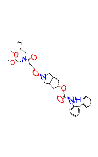 CCCCN(CC(OC)OC)C(=O)CCON1CC2CC(OC(=O)Nc3ccccc3-c3ccccc3)CC2C1